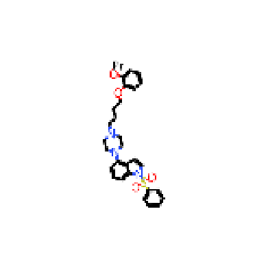 CC(C)Oc1ccccc1OCCCCN1CCN(c2cccc3c2ccn3S(=O)(=O)c2ccccc2)CC1